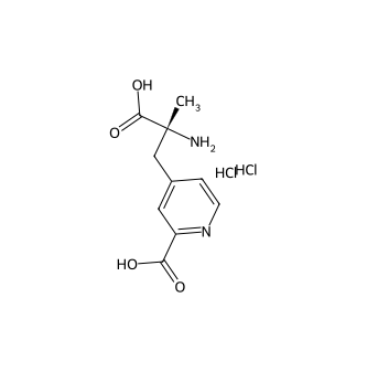 C[C@@](N)(Cc1ccnc(C(=O)O)c1)C(=O)O.Cl.Cl